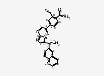 CC(c1ccc2ncccc2c1)c1cnc2ncc(-c3ccc(C(N)=O)c(CF)c3)nn12